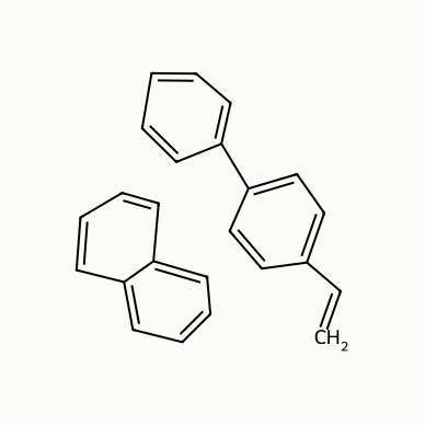 C=Cc1ccc(-c2ccccc2)cc1.c1ccc2ccccc2c1